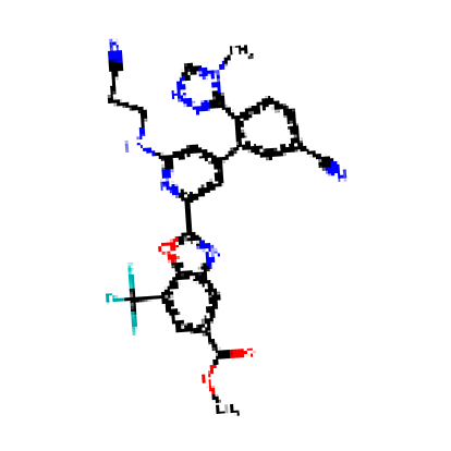 COC(=O)c1cc(C(F)(F)F)c2oc(-c3cc(-c4cc(C#N)ccc4-c4nncn4C)cc(NCCC#N)n3)nc2c1